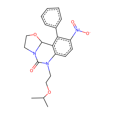 CC(C)OCCN1C(=O)N2CCOC2c2c1ccc([N+](=O)[O-])c2-c1ccccc1